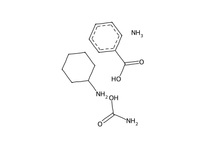 N.NC(=O)O.NC1CCCCC1.O=C(O)c1ccccc1